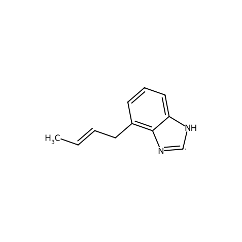 CC=CCc1cccc2[nH][c]nc12